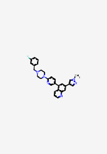 Cn1cc(-c2cc(-c3ccc(N4CCN(Cc5cccc(F)c5)CC4)nc3)c3cccnc3c2)cn1